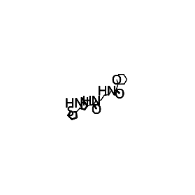 O=C(NCCCNC(=O)C1CCCCO1)c1cc(-c2cccs2)[nH]n1